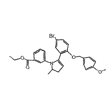 CCOC(=O)c1cccc(N2C(c3cc(Br)ccc3OCc3ccc(OC)cc3)=CCC2C)c1